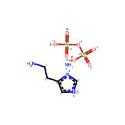 N.NCCc1c[nH]cn1.O=S(=O)(O)OS(=O)(=O)O